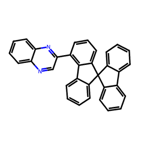 c1ccc2c(c1)-c1ccccc1C21c2ccccc2-c2c(-c3cnc4ccccc4n3)cccc21